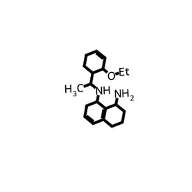 CCOC1C=CCCC1C(C)NC1CC=CC2=C1C(N)CCC2